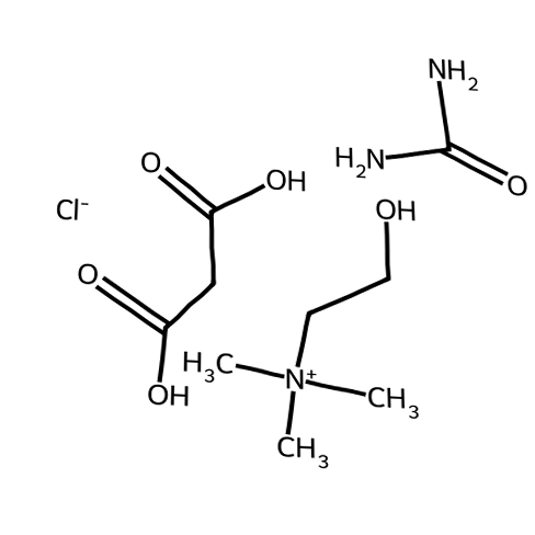 C[N+](C)(C)CCO.NC(N)=O.O=C(O)CC(=O)O.[Cl-]